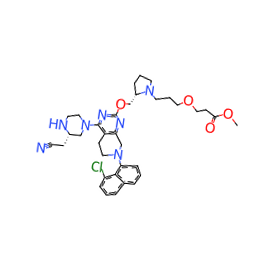 COC(=O)CCOCCCN1CCC[C@H]1COc1nc2c(c(N3CCN[C@@H](CC#N)C3)n1)CCN(c1cccc3cccc(Cl)c13)C2